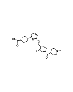 CN1CCC(C(=O)c2ccc(COc3cccc(C4CCN(C(=O)O)CC4)n3)c(F)c2)CC1